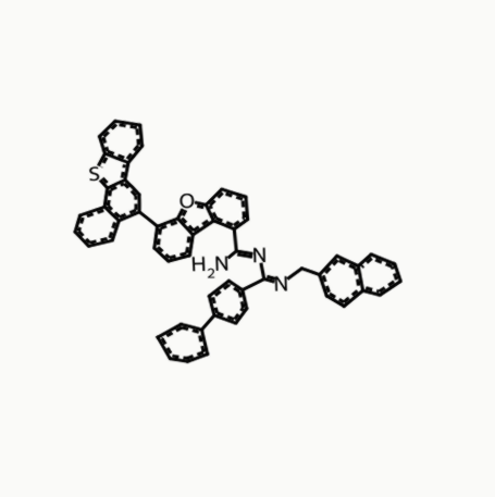 N/C(=N\C(=N/Cc1ccc2ccccc2c1)c1ccc(-c2ccccc2)cc1)c1cccc2oc3c(-c4cc5c6ccccc6sc5c5ccccc45)cccc3c12